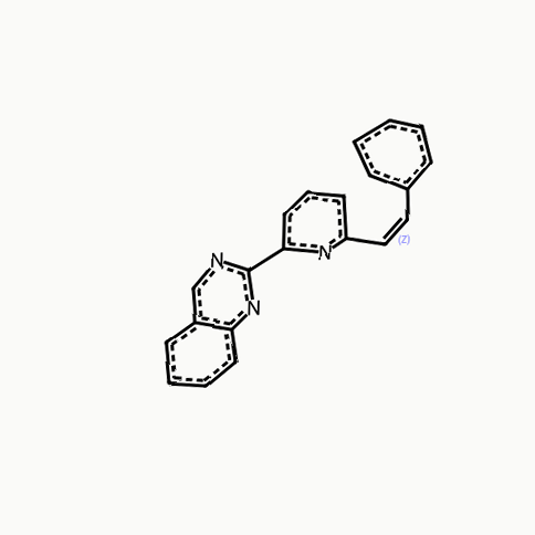 C(=C/c1cccc(-c2ncc3ccccc3n2)n1)/c1ccccc1